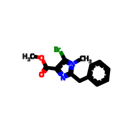 COC(=O)c1nc(Cc2ccccc2)n(C)c1Br